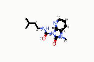 CC(C)CCNC(=O)n1c(=O)n(C)c2cccnc21